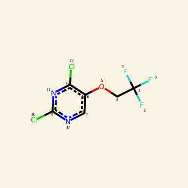 FC(F)(F)COc1cnc(Cl)nc1Cl